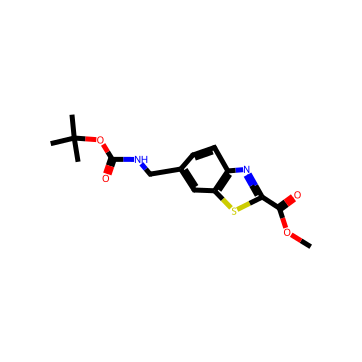 COC(=O)c1nc2ccc(CNC(=O)OC(C)(C)C)cc2s1